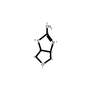 CC1=NC2COCC2S1